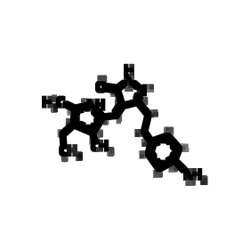 CCc1c(C)[nH]c(C=C2C(=O)NN=C2CCc2ccc(N)cc2)c1C